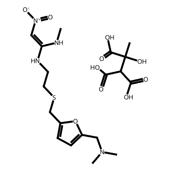 CC(O)(C(=O)O)C(C(=O)O)C(=O)O.CNC(=C[N+](=O)[O-])NCCSCc1ccc(CN(C)C)o1